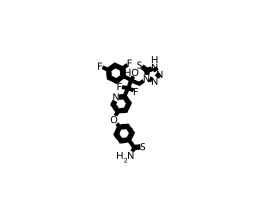 NC(=S)c1ccc(Oc2ccc(C(F)(F)C(O)(Cn3nn[nH]c3=S)c3ccc(F)cc3F)nc2)cc1